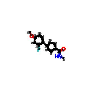 CNC(=O)c1ccc(-c2ccc(OC)cc2F)cc1